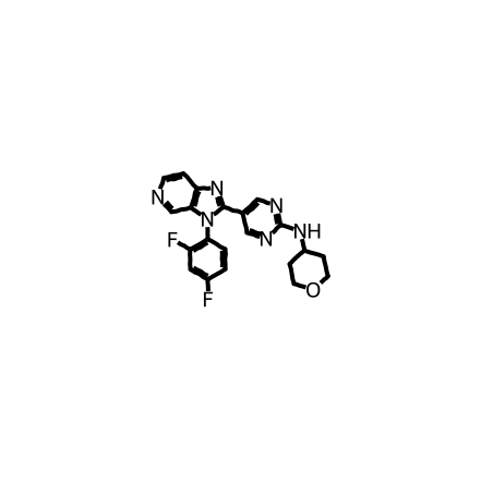 Fc1ccc(-n2c(-c3cnc(NC4CCOCC4)nc3)nc3ccncc32)c(F)c1